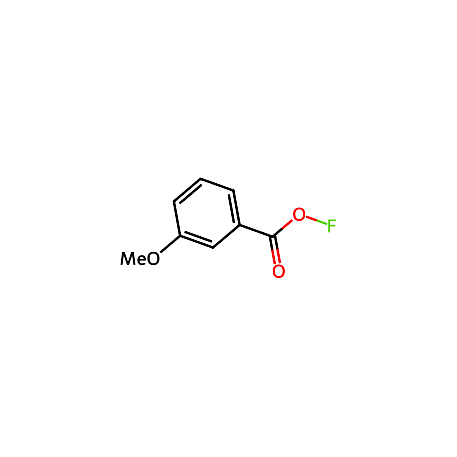 COc1cccc(C(=O)OF)c1